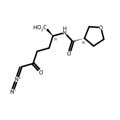 [N-]=[N+]=CC(=O)CC[C@H](NC(=O)[C@H]1CCOC1)C(=O)O